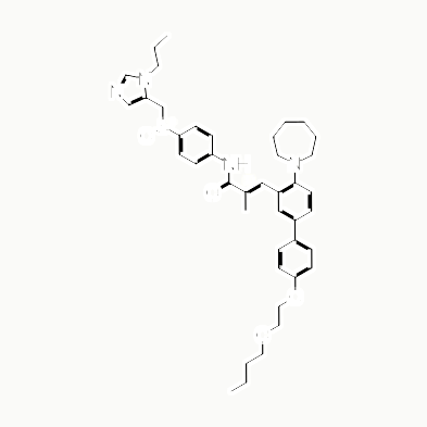 CCCCOCCOc1ccc(-c2ccc(N3CCCCCC3)c(/C=C(\C)C(=O)Nc3ccc([S+]([O-])Cc4cncn4CCC)cc3)c2)cc1